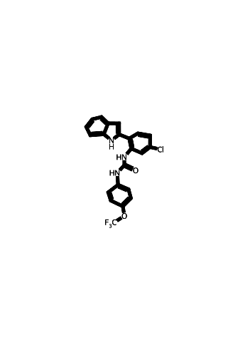 O=C(Nc1ccc(OC(F)(F)F)cc1)Nc1cc(Cl)ccc1-c1cc2ccccc2[nH]1